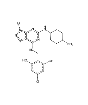 CCn1nnc2c(NCc3c(O)cc(Cl)cc3O)nc(NC3CCC(N)CC3)nc21